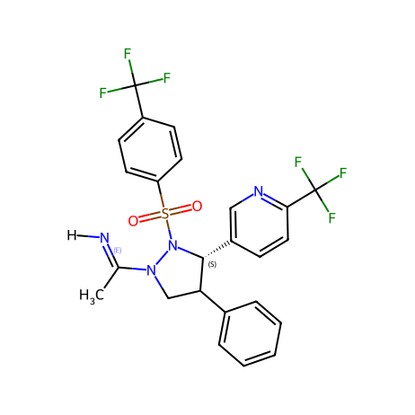 [H]/N=C(\C)N1CC(c2ccccc2)[C@@H](c2ccc(C(F)(F)F)nc2)N1S(=O)(=O)c1ccc(C(F)(F)F)cc1